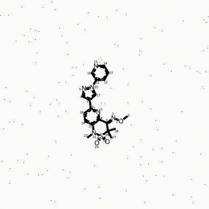 CO/N=C1/c2nc(-c3cnn(-c4cccnc4)c3)ccc2N(C)S(=O)(=O)C1(C)C